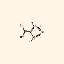 Cc1cncc(C)c1C(Br)Br